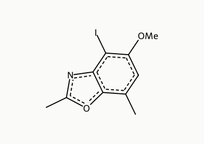 COc1cc(C)c2oc(C)nc2c1I